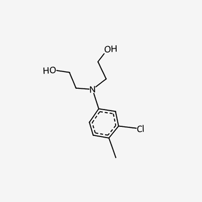 Cc1ccc(N(CCO)CCO)cc1Cl